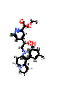 CCOC(=O)c1cc(C(O)Cn2c3c(c4cc(C)ccc42)C2CCCN2CC3)ccn1